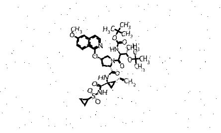 C=C[C@@H]1C[C@]1(NC(=O)[C@@H]1C[C@@H](Oc2nccc3cc(OC)ccc23)CN1C(=O)C(NC(=O)OC(C)(C)C)[C@H](C)OC(C)(C)C)C(=O)NS(=O)(=O)C1CC1